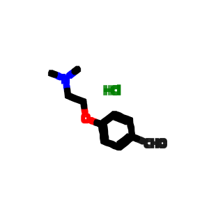 CN(C)CCOc1ccc(C=O)cc1.Cl